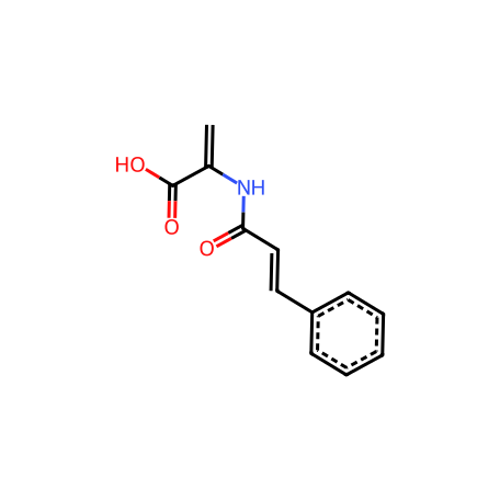 C=C(NC(=O)C=Cc1ccccc1)C(=O)O